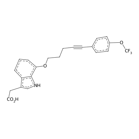 O=C(O)Cc1c[nH]c2c(OCCCC#Cc3ccc(OC(F)(F)F)cc3)cccc12